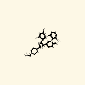 Cc1cccc(C)c1-n1cc(-c2nc(C3CCN(CC(F)(F)F)CC3)oc2-c2ccc(F)cc2F)ccc1=O